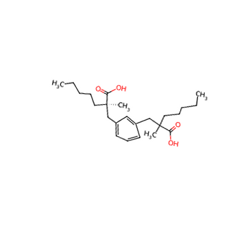 CCCCCC(C)(Cc1cccc(C[C@@](C)(CCCCC)C(=O)O)c1)C(=O)O